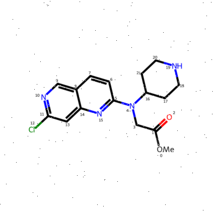 COC(=O)CN(c1ccc2cnc(Cl)cc2n1)C1CCNCC1